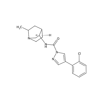 CC1CC2CCN1C[C@@H]2NC(=O)n1cc(-c2ccccc2Cl)cn1